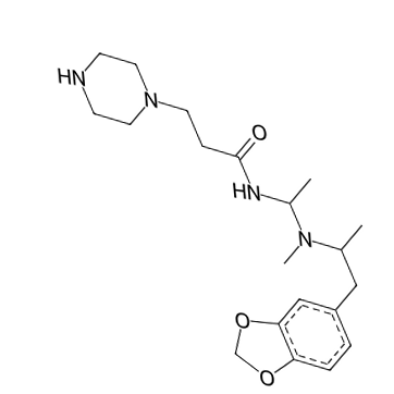 CC(Cc1ccc2c(c1)OCO2)N(C)C(C)NC(=O)CCN1CCNCC1